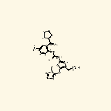 Cn1nnnc1Sc1sc(NC(=O)Nc2ccc(C(F)(F)F)cc2C(=O)C2CCCC2)nc1CC(=O)O